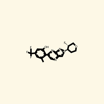 Cc1cc(C(F)(F)F)cc(O)c1-c1cnc2cn([C@@H]3CCOC[C@H]3F)nc2n1